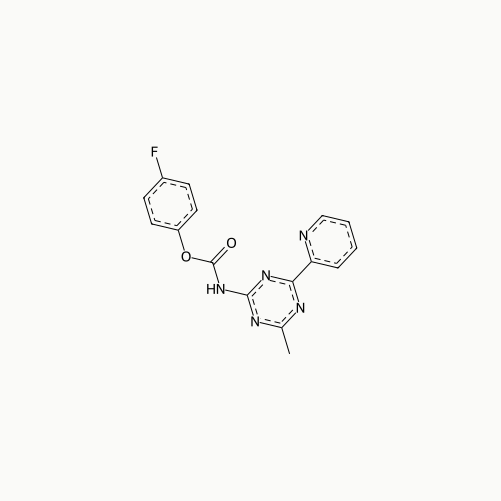 Cc1nc(NC(=O)Oc2ccc(F)cc2)nc(-c2ccccn2)n1